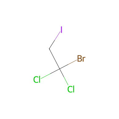 ClC(Cl)(Br)CI